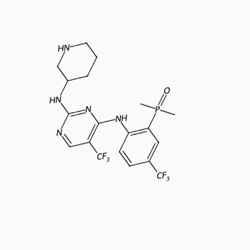 CP(C)(=O)c1cc(C(F)(F)F)ccc1Nc1nc(NC2CCCNC2)ncc1C(F)(F)F